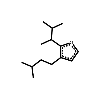 CC(C)CCc1ccoc1C(C)C(C)C